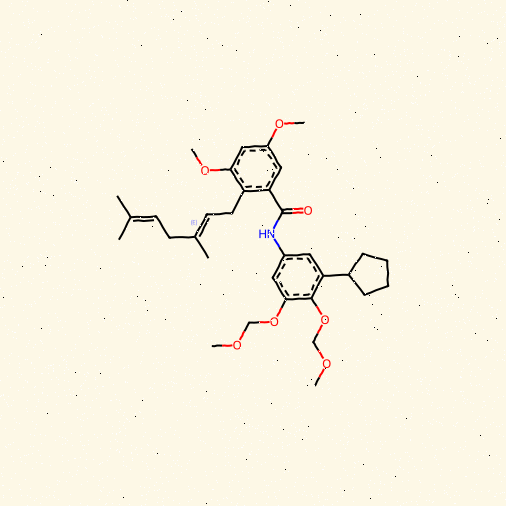 COCOc1cc(NC(=O)c2cc(OC)cc(OC)c2C/C=C(\C)CC=C(C)C)cc(C2CCCC2)c1OCOC